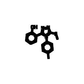 CSc1nnc(-c2ccccc2O)n1-c1ccc(C)cc1